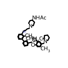 CC(=O)NC1CCN(CC/C=C/c2cccc(-c3cccc(COc4cc(C)c(CN5CCCC[C@H]5C)cc4Cl)c3C)c2C)CC1